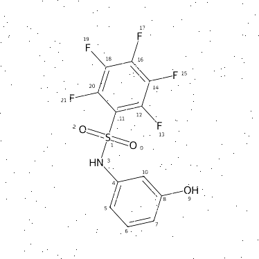 O=S(=O)(Nc1cccc(O)c1)c1c(F)c(F)c(F)c(F)c1F